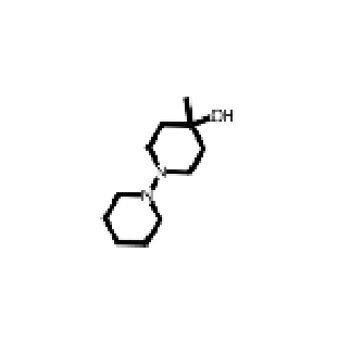 CC1(O)CCN(N2CCCCC2)CC1